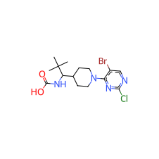 CC(C)(C)C(NC(=O)O)C1CCN(c2nc(Cl)ncc2Br)CC1